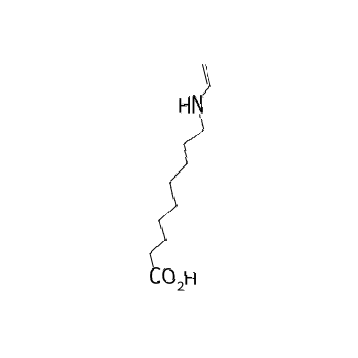 C=CNCCCCCCCCC(=O)O